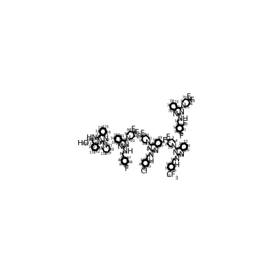 FC1(F)CCN(c2nc(NCc3ccc(C(F)(F)F)cc3)nc3ccccc23)CC1.FC1(F)CCN(c2nc(NCc3ccc(Cl)cc3)nc3ccccc23)CC1.Fc1ccc(CNc2nc(N3CCC(F)(F)CC3)c3ccccc3n2)c(F)c1.Fc1ccc(CNc2nc(N3CCC(F)(F)CC3)c3ccccc3n2)cc1.OC[C@H](Nc1nc(N2CCCCC2)nc2ccccc12)c1ccccc1